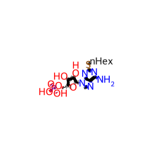 CCCCCCSc1nc(N)c2ncn([C@@H]3O[C@H](COP(=O)(O)O)[C@@H](O)[C@H]3O)c2n1